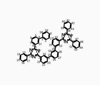 c1ccc(-c2cccc(-c3nc(-c4ccccc4)nc(-c4cccc(-c5cccc(-c6cccc(-c7nc(-c8ccccc8)nc(-c8ccccc8)n7)c6)c5)c4)n3)c2)cc1